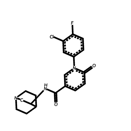 O=C(NC1CN2CCC1CC2)c1ccc(=O)n(-c2ccc(F)c(Cl)c2)c1